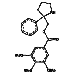 COc1cc(C(=O)OCC2(c3ccccc3)CCCN2)cc(OC)c1OC